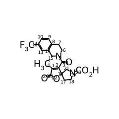 CC1=C(C(=O)N2CCc3ccc(C(F)(F)F)cc3C2)C2(CCN(C(=O)O)C2)OC1=O